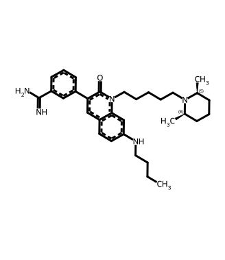 CCCCNc1ccc2cc(-c3cccc(C(=N)N)c3)c(=O)n(CCCCCN3[C@H](C)CCC[C@@H]3C)c2c1